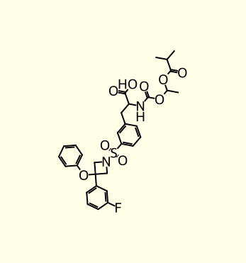 CC(OC(=O)NC(Cc1cccc(S(=O)(=O)N2CC(Oc3ccccc3)(c3cccc(F)c3)C2)c1)C(=O)O)OC(=O)C(C)C